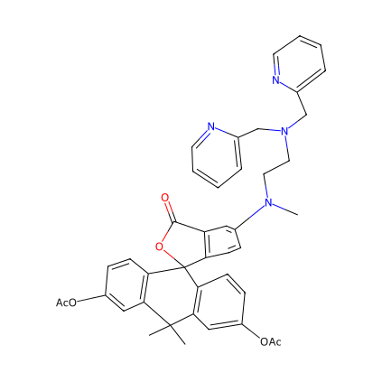 CC(=O)Oc1ccc2c(c1)C(C)(C)c1cc(OC(C)=O)ccc1C21OC(=O)c2cc(N(C)CCN(Cc3ccccn3)Cc3ccccn3)ccc21